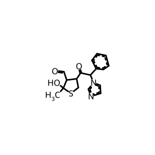 CC1(O)SCC(C(=O)C(c2ccccc2)n2ccnc2)C1C=O